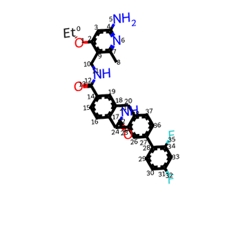 CCOc1cc(N)nc(C)c1CNC(=O)c1ccc2c(c1)C1NC(=O)C2c2cc(-c3ccc(F)cc3F)ccc21